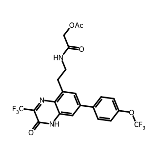 CC(=O)OCC(=O)NCCc1cc(-c2ccc(OC(F)(F)F)cc2)cc2[nH]c(=O)c(C(F)(F)F)nc12